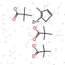 CC(C)(C)C(=O)[O-].CC(C)(C)C(=O)[O-].CC(C)(C)C(=O)[O-].CC1=[C]([Zr+3])CC=C1